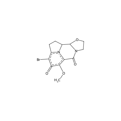 COc1c2n3c(c(Br)c1=O)CCC3C1OCCN1C2=O